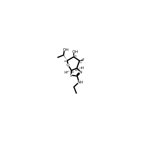 CCNC1=N[C@@H]2[C@H](F)[C@H](O)[C@@H](C(C)O)O[C@@H]2S1